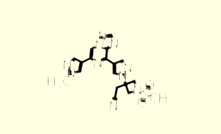 Cn1cc(-c2cn3ncnc3c(-c3cnn(C4(CC#N)CN(S(C)(=O)=O)C4)c3)n2)cn1